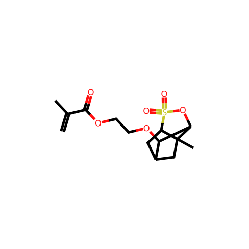 C=C(C)C(=O)OCCOC1C2CC3C(C)(C2)C1OS3(=O)=O